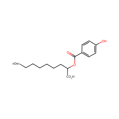 CCCCCCCCCCCCCCCCC(OC(=O)c1ccc(O)cc1)C(=O)O